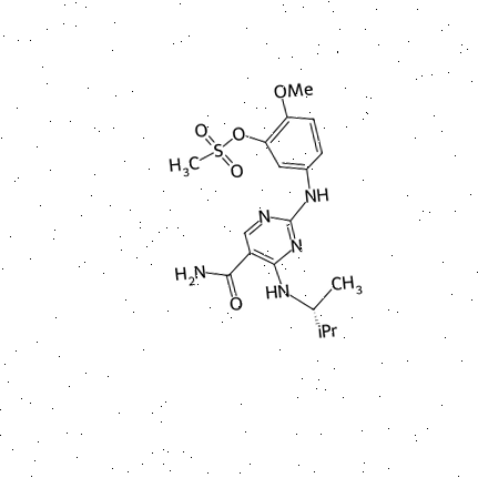 COc1ccc(Nc2ncc(C(N)=O)c(N[C@H](C)C(C)C)n2)cc1OS(C)(=O)=O